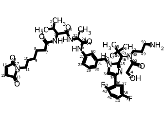 CC(C)C(NC(=O)CCCCCN1C(=O)C=CC1=O)C(=O)N[C@@H](C)C(=O)Nc1cccc(Cn2cc(-c3cc(F)ccc3F)nc2[C@H](N(CCCN)C(=O)CO)C(C)(C)C)c1